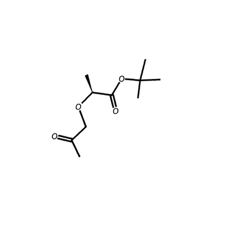 CC(=O)CO[C@@H](C)C(=O)OC(C)(C)C